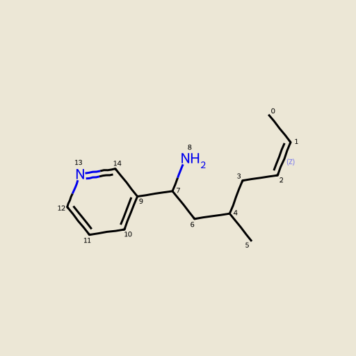 C/C=C\CC(C)CC(N)c1cccnc1